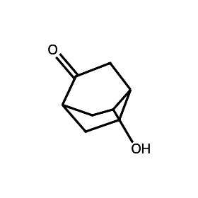 O=C1CC2CCC1CC2O